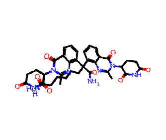 Cc1nc2c(C(CCCCCC(N)=O)(C(N)=O)c3cccc4c(=O)n(C5CCC(=O)NC5=O)c(C)nc34)cccc2c(=O)n1C1CCC(=O)NC1=O